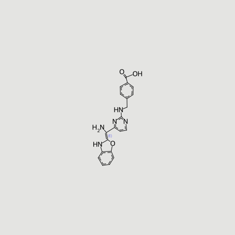 N/C(=C1\Nc2ccccc2O1)c1ccnc(NCc2ccc(C(=O)O)cc2)n1